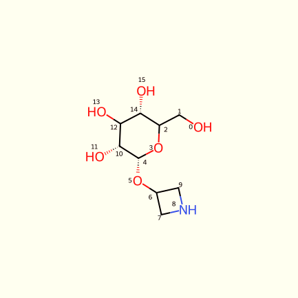 OCC1O[C@H](OC2CNC2)[C@H](O)C(O)[C@@H]1O